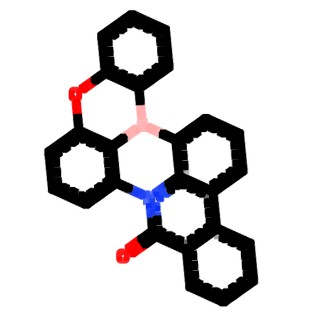 O=c1c2ccccc2c2cccc3c2n1-c1cccc2c1B3c1ccccc1O2